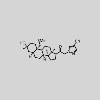 CSC[C@]12CC[C@@](C)(O)C[C@H]1CC[C@@H]1C2CC[C@]2(C)C(C(=O)Cn3cc(C#N)cn3)CC[C@@H]12